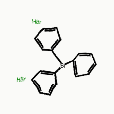 Br.Br.c1cc[c]([Bi]([c]2ccccc2)[c]2ccccc2)cc1